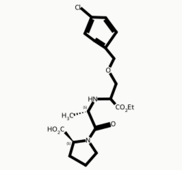 CCOC(=O)C(COCc1ccc(Cl)cc1)N[C@@H](C)C(=O)N1CCC[C@H]1C(=O)O